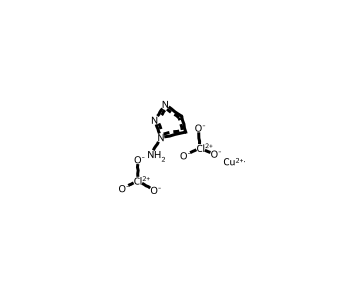 Nn1ccnn1.[Cu+2].[O-][Cl+2]([O-])[O-].[O-][Cl+2]([O-])[O-]